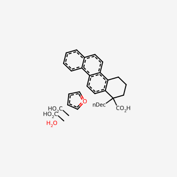 CC(=O)O.CC(=O)O.CCCCCCCCCCC1(C(=O)O)CCCc2c1ccc1c2ccc2ccccc21.O.c1ccoc1